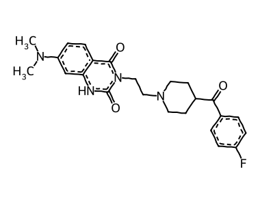 CN(C)c1ccc2c(=O)n(CCN3CCC(C(=O)c4ccc(F)cc4)CC3)c(=O)[nH]c2c1